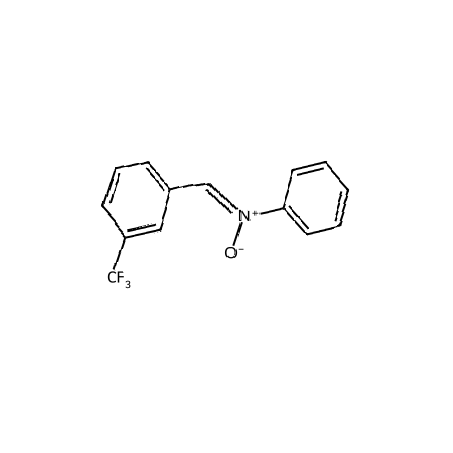 [O-][N+](=Cc1cccc(C(F)(F)F)c1)c1ccccc1